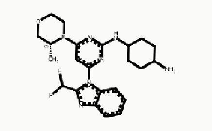 C[C@@H]1COCCN1c1cc(-n2c(C(F)F)nc3ccccc32)nc(NC2CCC(N)CC2)n1